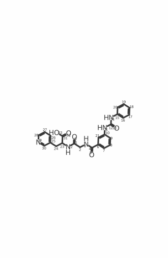 O=C(CNC(=O)c1cccc(NC(=O)Nc2ccccc2)c1)NC(Cc1cccnc1)C(=O)O